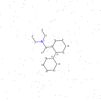 CCN(CC)C(C)C1CCCCC1C1CCCCC1